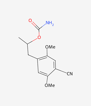 COc1cc(CC(C)OC(N)=O)c(OC)cc1C#N